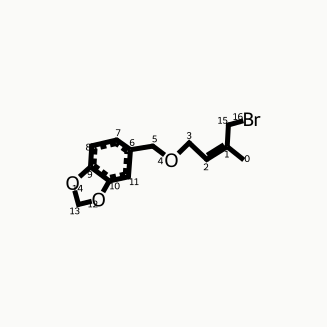 CC(=CCOCc1ccc2c(c1)OCO2)CBr